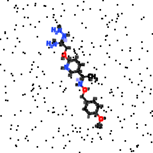 CCOc1ccc(CO/N=C(\C)c2ccc(OC/C(N)=N/N)nc2)cc1